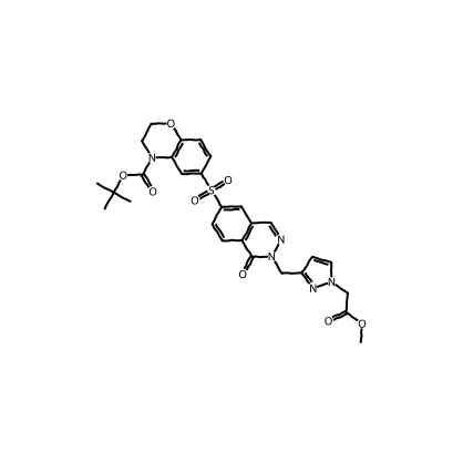 COC(=O)Cn1ccc(Cn2ncc3cc(S(=O)(=O)c4ccc5c(c4)N(C(=O)OC(C)(C)C)CCO5)ccc3c2=O)n1